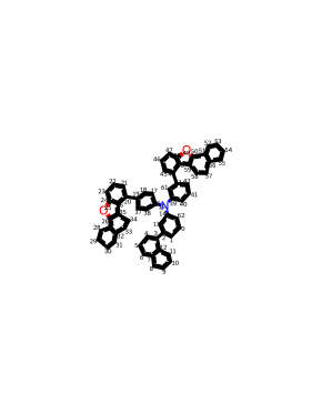 c1cc(-c2cccc3ccccc23)cc(N(c2ccc(-c3cccc4oc5c6ccccc6ccc5c34)cc2)c2cccc(-c3cccc4oc5c6ccccc6ccc5c34)c2)c1